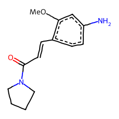 COc1cc(N)ccc1C=CC(=O)N1CCCC1